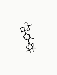 CC(=O)OC1(c2ccc(B3OC(C)(C)C(C)(C)O3)c(C)c2)CCC1